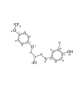 CCC(COc1ccc(OC(F)(F)F)cc1)CSc1ccc(O)c(C)c1